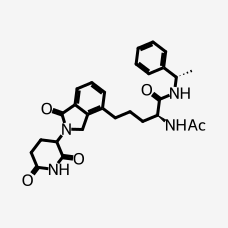 CC(=O)N[C@@H](CCCc1cccc2c1CN(C1CCC(=O)NC1=O)C2=O)C(=O)N[C@@H](C)c1ccccc1